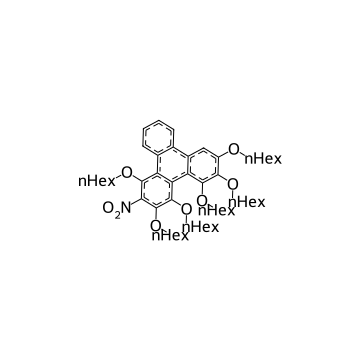 CCCCCCOc1cc2c3ccccc3c3c(OCCCCCC)c([N+](=O)[O-])c(OCCCCCC)c(OCCCCCC)c3c2c(OCCCCCC)c1OCCCCCC